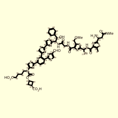 CNC(=O)C[C@H](N)c1nc(C(=O)NC(c2nc(C(=O)NCC(=O)N[C@H](c3nc(-c4nc(-c5nc(-c6nc(N(CCCCC(=O)O)C(=O)O[C@H]7C[C@H](C(=O)O)C7)cs6)ccc5-c5nc(C=O)cs5)cs4)cs3)[C@@H](O)c3ccccc3)c(COC)s2)C(C)C)c(C)s1